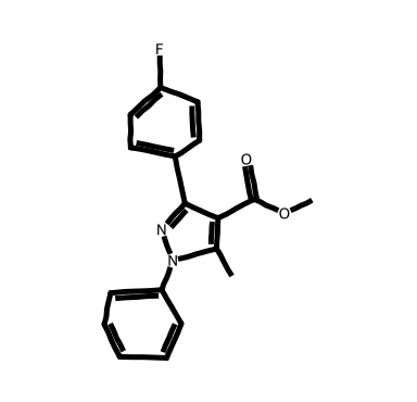 COC(=O)c1c(-c2ccc(F)cc2)nn(-c2ccccc2)c1C